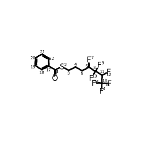 O=C(SCCCC(F)C(F)(F)C(F)C(F)(F)F)c1ccccc1